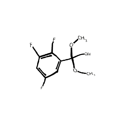 COC(O)(OC)c1cc(F)cc(F)c1F